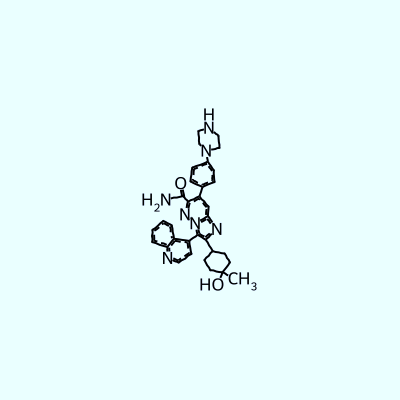 CC1(O)CCC(c2nc3cc(-c4ccc(N5CCNCC5)cc4)c(C(N)=O)nn3c2-c2ccnc3ccccc23)CC1